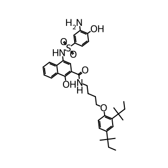 CCC(C)(C)c1ccc(OCCCCNC(=O)c2cc(NS(=O)(=O)c3ccc(O)c(N)c3)c3ccccc3c2O)c(C(C)(C)CC)c1